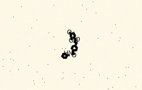 COc1ccc(C(=O)/C=C/c2ccc(C(=O)NCc3ccccc3)cc2)c(O)c1